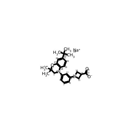 CC1(C)CN(c2cccc(N3CC(C(=O)[O-])C3)c2)c2ccc(C(C)(C)C)cc2O1.[Na+]